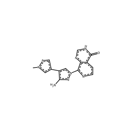 Cn1cc(-c2cn(-c3nccc4c(=O)[nH]cnc34)nc2N)cn1